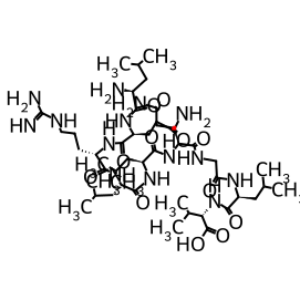 CC(C)C[C@H](NC(=O)CNC(=O)[C@H](CCC(N)=O)NC(=O)[C@H](CC(C)C)NC(=O)[C@H](CC(C)C)NC(=O)[C@H](CCCNC(=N)N)NC(=O)[C@H](CCC(N)=O)NC(=O)[C@@H](N)CC(C)C)C(=O)N[C@H](C(=O)O)C(C)C